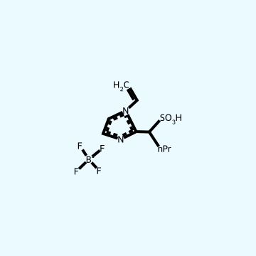 C=Cn1ccnc1C(CCC)S(=O)(=O)O.F[B-](F)(F)F